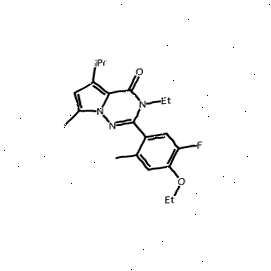 CCOc1cc(C)c(-c2nn3c(C)cc(C(C)C)c3c(=O)n2CC)cc1F